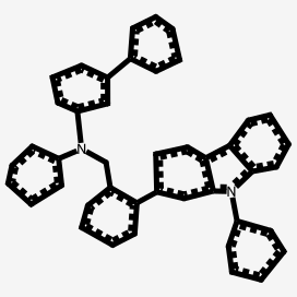 c1ccc(-c2cccc(N(Cc3ccccc3-c3ccc4c5ccccc5n(-c5ccccc5)c4c3)c3ccccc3)c2)cc1